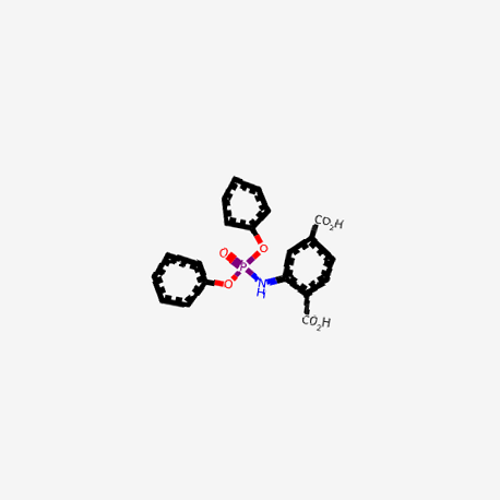 O=C(O)c1ccc(C(=O)O)c(NP(=O)(Oc2ccccc2)Oc2ccccc2)c1